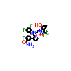 NC(=O)c1cc(-c2cccnc2[C@H](Cc2cc(F)cc(F)c2)NC(O)Cn2nc(C(F)(F)F)c3c2C(O)C2CC32)ccc1F